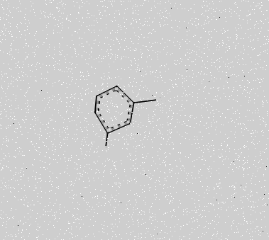 Fc1[c]ccc([AsH2])c1